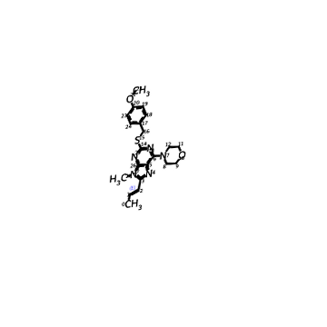 C/C=C/c1nc2c(N3CCOCC3)nc(SCc3ccc(OC)cc3)nc2n1C